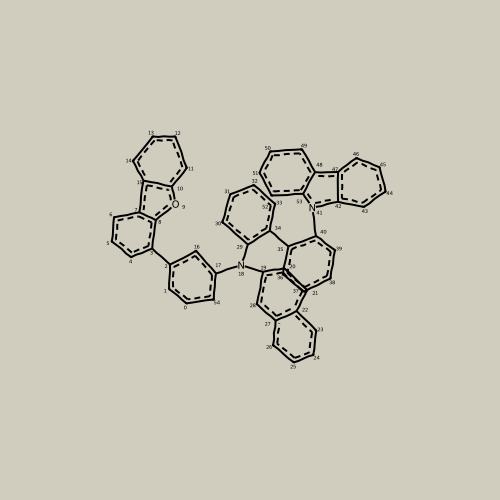 c1cc(-c2cccc3c2oc2ccccc23)cc(N(c2ccc3ccccc3c2)c2ccccc2-c2ccccc2-n2c3ccccc3c3ccccc32)c1